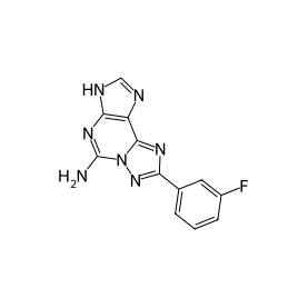 Nc1nc2[nH]cnc2c2nc(-c3cccc(F)c3)nn12